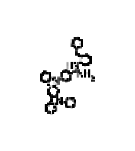 NC(NC1C=CC=C/C1=C\c1ccccc1)c1ccc(N2c3ccccc3C3C=c4c(n(-c5ccccc5)c5ccccc45)=CC32)cc1